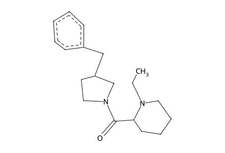 CCN1CCCCC1C(=O)N1CCC(Cc2ccccc2)C1